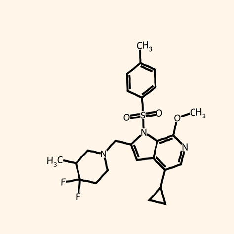 COc1ncc(C2CC2)c2cc(CN3CCC(F)(F)C(C)C3)n(S(=O)(=O)c3ccc(C)cc3)c12